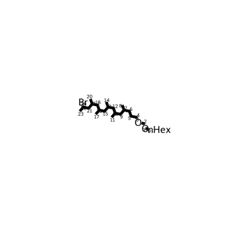 CCCCCCOCOCCCC(C)CC(C)CC(C)CC(C)CC(C)CC(C)Br